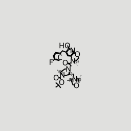 C[C@@H]1CN(CC(=O)N2c3cc(Cc4ccc(F)cc4)c(O)nc3OC[C@@H]2C)[C@@H](CN2[C@H](C)COC[C@H]2C)CN1C(=O)OC(C)(C)C